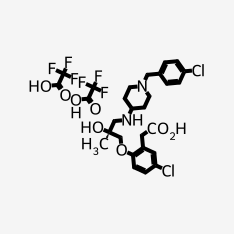 C[C@](O)(CNC1CCN(Cc2ccc(Cl)cc2)CC1)COc1ccc(Cl)cc1CC(=O)O.O=C(O)C(F)(F)F.O=C(O)C(F)(F)F